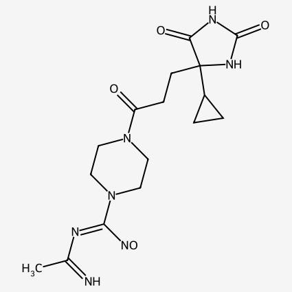 CC(=N)/N=C(\N=O)N1CCN(C(=O)CCC2(C3CC3)NC(=O)NC2=O)CC1